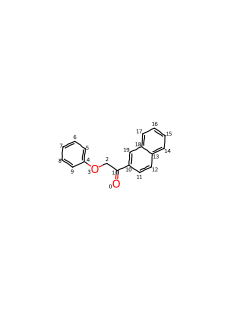 O=C(COc1ccccc1)c1ccc2ccccc2c1